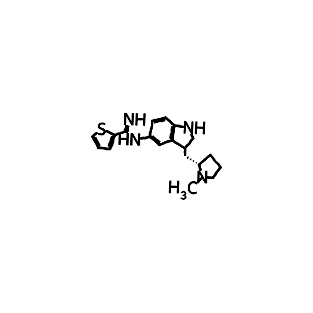 CN1CCC[C@H]1CC1CNc2ccc(NC(=N)c3cccs3)cc21